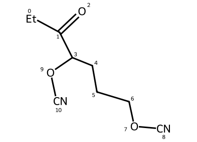 CCC(=O)C(CCCOC#N)OC#N